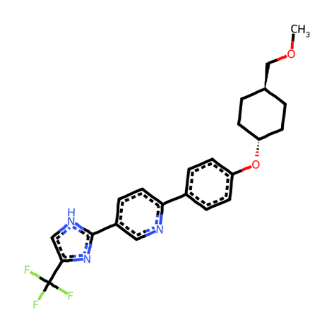 COC[C@H]1CC[C@H](Oc2ccc(-c3ccc(-c4nc(C(F)(F)F)c[nH]4)cn3)cc2)CC1